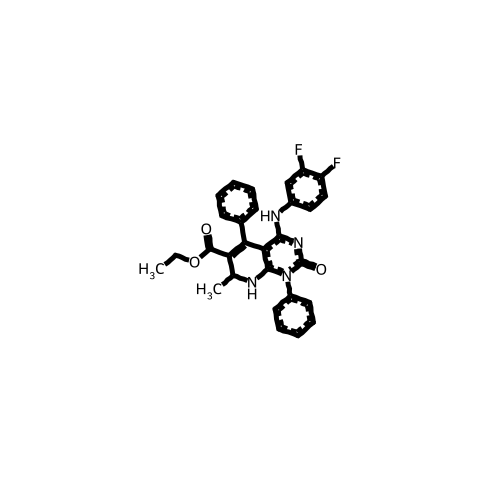 CCOC(=O)C1=C(c2ccccc2)c2c(Nc3ccc(F)c(F)c3)nc(=O)n(-c3ccccc3)c2NC1C